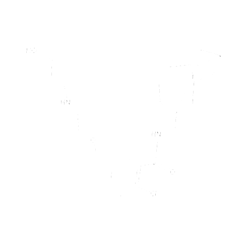 O=C(NCC12CCCC3CC(CC3C1)C2)c1cc(COCCNCCCO)ccc1Cl